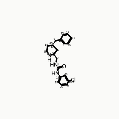 O=C(NC[C@@H]1C[C@H](Cc2ccccc2)CCN1)Nc1cccc(Cl)c1